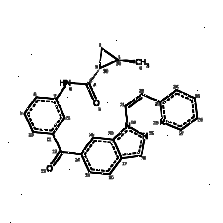 C[C@@H]1C[C@H]1C(=O)Nc1cccc(C(=O)c2ccc3cnn(C=Cc4ccccn4)c3c2)c1